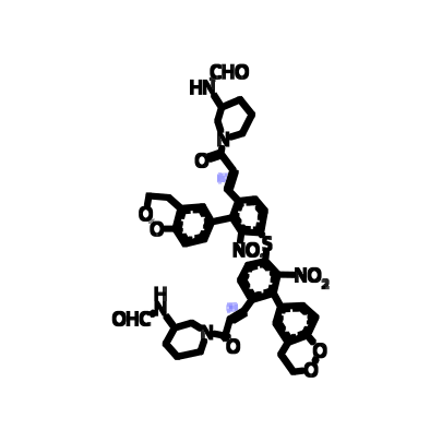 O=CNC1CCCN(C(=O)/C=C/c2ccc(Sc3ccc(/C=C/C(=O)N4CCCC(NC=O)C4)c(-c4ccc5c(c4)CCOO5)c3[N+](=O)[O-])c([N+](=O)[O-])c2-c2ccc3c(c2)CCOO3)C1